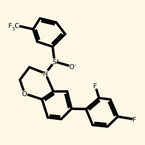 [O-][S+](c1cccc(C(F)(F)F)c1)N1CCOc2ccc(-c3ccc(F)cc3F)cc21